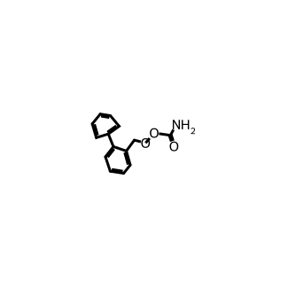 NC(=O)OOCc1ccccc1-c1ccccc1